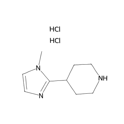 Cl.Cl.Cn1ccnc1C1CCNCC1